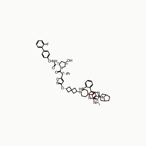 CC(C)[C@@H](C(=O)N1C[C@H](O)C[C@H]1C(=O)NOc1ccc(-c2ccccc2F)cc1)c1cc(O[C@H]2CC3(C2)C[C@H](N2CCC(c4cnc(N5C6CCC5CN(c5cc(-c7ccccc7O)nnc5N)C6)nc4)CC2)C3)no1